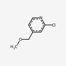 CO[CH]c1ccnc(Cl)c1